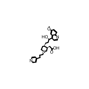 COc1ccc2nccc([C@H](O)CC[C@@H]3CCN(CCCc4ccncc4)C[C@@H]3CC(=O)O)c2c1